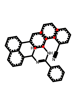 N#Cc1ccccc1-c1ccc(-c2cccc3cccc(C4N=C(c5ccccc5)NC(c5ccccc5)N4)c23)cc1